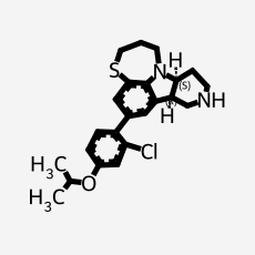 CC(C)Oc1ccc(-c2cc3c4c(c2)[C@@H]2CNCC[C@@H]2N4CCCS3)c(Cl)c1